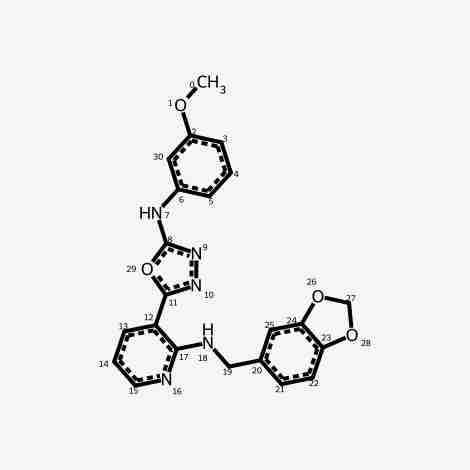 COc1cccc(Nc2nnc(-c3cccnc3NCc3ccc4c(c3)OCO4)o2)c1